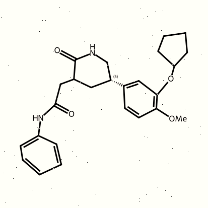 COc1ccc([C@H]2CNC(=O)C(CC(=O)Nc3ccccc3)C2)cc1OC1CCCC1